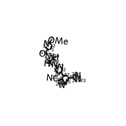 COc1ccc(C(=O)N2C[C@@H]3CN(c4ccc(-c5cc(-c6cnn(C)c6)cn6ncc(C#N)c56)cn4)C[C@@H]3C2)cn1